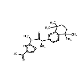 CN(C(=O)C(N)c1ccc2c(c1)C(C)(C)CCC2(C)C)c1ccc(C(=O)O)[nH]1